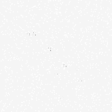 COc1cc(OC)c(C(=O)N2CC3CN(CC[C@H](N)c4ccccc4)CC3C2)c(OC)c1